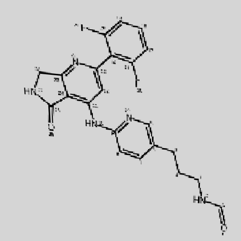 O=CNCCCc1ccc(Nc2cc(-c3c(F)cccc3F)nc3c2C(=O)NC3)nc1